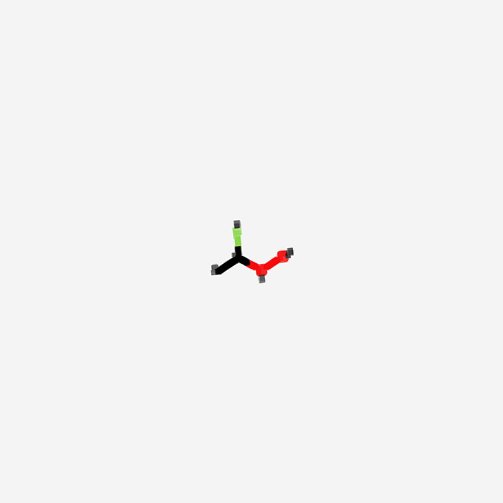 [CH2]C(F)O[O]